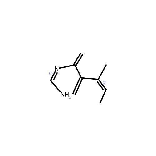 C=C(/N=C\N)C(=C)/C(C)=C\C